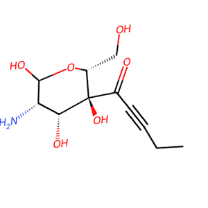 CCC#CC(=O)[C@]1(O)[C@H](O)[C@H](N)C(O)O[C@@H]1CO